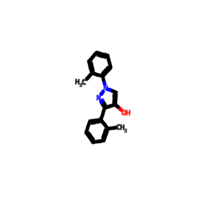 Cc1ccccc1-c1nn(-c2ccccc2C)cc1O